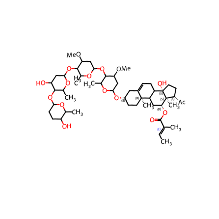 C/C=C(\C)C(=O)O[C@@H]1CC2C(CC=C3C[C@@H](OC4CC(OC)C(OC5CC(OC)C(OC6CC(O)C(OC7CCC(O)C(C)O7)C(C)O6)C(C)O5)C(C)O4)CC[C@@]32C)[C@@]2(O)CC[C@H](C(C)=O)[C@@]12C